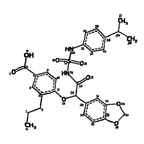 CCCc1cc(C(=O)O)ccc1OC(C(=O)NS(=O)(=O)Nc1ccc(C(C)C)cc1)c1ccc2c(c1)OCO2